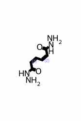 NNC(=O)/C=C\C=C/C(=O)NN